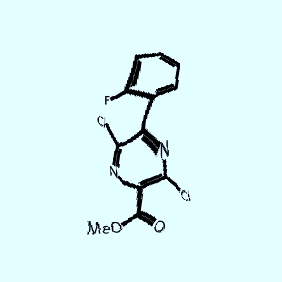 COC(=O)c1nc(Cl)c(-c2ccccc2F)nc1Cl